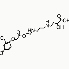 O=C(COc1ccc(Cl)cc1Cl)OCCNCCCNCC[C@H](O)C(=O)O